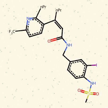 CCC/C(=C/C(=O)NCc1ccc(NS(C)(=O)=O)c(I)c1)c1ccc(C(F)(F)F)nc1CCC